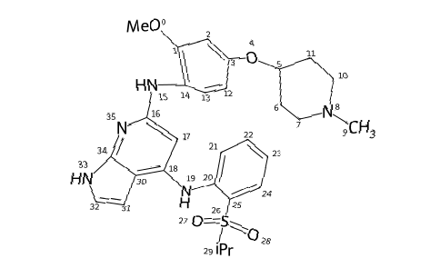 COc1cc(OC2CCN(C)CC2)ccc1Nc1cc(Nc2ccccc2S(=O)(=O)C(C)C)c2cc[nH]c2n1